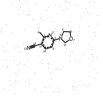 Cc1nc(N2CCOC2)ccc1C#N